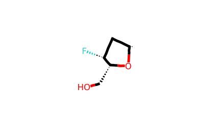 OC[C@H]1O[CH]C[C@H]1F